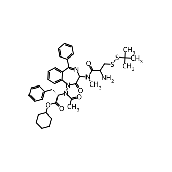 CC(=O)N([C@@H](Cc1ccccc1)C(=O)OC1CCCCC1)N1C(=O)C(N(C)C(=O)C(N)CSSC(C)(C)C)N=C(c2ccccc2)c2ccccc21